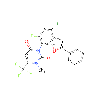 Cn1c(C(F)(F)F)cc(=O)n(-c2c(F)cc(Cl)c3cc(-c4ccccc4)oc23)c1=O